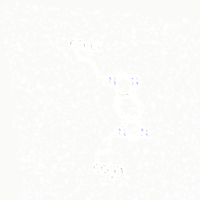 CCOC(=O)CCCn1cnc2cc3ncn(CCCC(=O)OCC)c3cc21